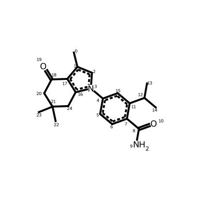 Cc1cn(-c2ccc(C(N)=O)c(C(C)C)c2)c2c1C(=O)CC(C)(C)C2